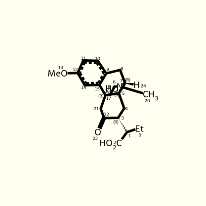 CCC(C(=O)O)[C@H]1C[C@@]2(O)[C@H]3Cc4ccc(OC)cc4[C@@]2(CCN3C)CC1=O